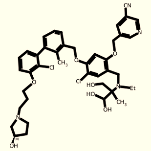 CCN(Cc1cc(Cl)c(OCc2cccc(-c3cccc(OCCCN4CC[C@@H](O)C4)c3Cl)c2C)cc1OCc1cncc(C#N)c1)C(C)(CO)C(O)O